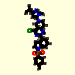 Cc1ccc(S(=O)(=O)n2ccc3c(-c4nc(Cl)c5c(n4)CCN(c4cc(C(C)C)nn4C)C5)cccc32)cc1